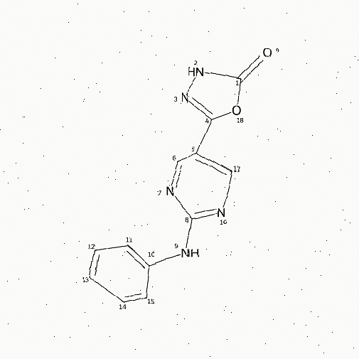 O=c1[nH]nc(-c2cnc(Nc3ccccc3)nc2)o1